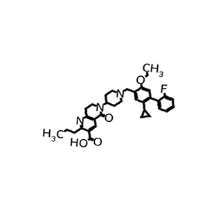 CCCc1nc2c(cc1C(=O)O)C(=O)N(C1CCN(Cc3cc(C4CC4)c(-c4ccccc4F)cc3OCC)CC1)CC2